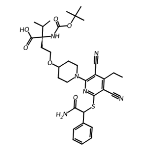 CCc1c(C#N)c(SC(C(N)=O)c2ccccc2)nc(N2CCC(OCC[C@@](NC(=O)OC(C)(C)C)(C(=O)O)C(C)C)CC2)c1C#N